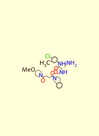 COC1CCN(C(=O)CCC(=O)N2Cc3ccccc3C[C@H]2C(=O)N[C@@H](CCN)C(=O)Nc2ccc(Cl)c(C)c2)CC1